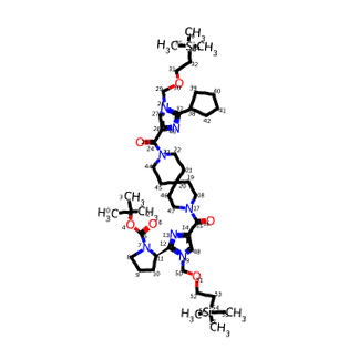 CC(C)(C)OC(=O)N1CCC[C@@H]1c1nc(C(=O)N2CCC3(CCN(C(=O)c4cn(COCC[Si](C)(C)C)c(C5CCCC5)n4)CC3)CC2)cn1COCC[Si](C)(C)C